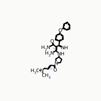 CN(C)C/C=C/C(=O)N1CCC(N/C(N)=C(\C(=N)c2ccc(Oc3ccccc3)cc2)C(N)=O)C1